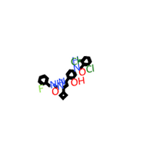 O=C(Nc1ccc(-c2cc(C3CCC3)n(C(=O)NCc3ccccc3F)n2)c(O)c1)c1c(Cl)cccc1Cl